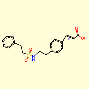 O=C(O)/C=C/c1ccc(CCNS(=O)(=O)CCc2ccccc2)cc1